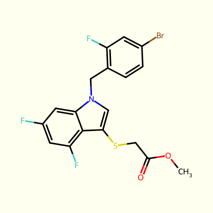 COC(=O)CSc1cn(Cc2ccc(Br)cc2F)c2cc(F)cc(F)c12